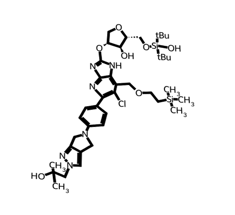 CC(C)(O)Cn1cc2c(n1)CN(c1ccc(-c3nc4nc(O[C@@H]5CO[C@H](CO[Si](O)(C(C)(C)C)C(C)(C)C)[C@H]5O)[nH]c4c(COCC[Si](C)(C)C)c3Cl)cc1)C2